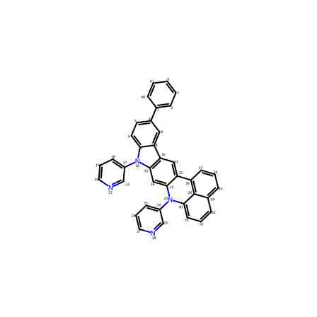 c1ccc(-c2ccc3c(c2)c2cc4c(cc2n3-c2cccnc2)N(c2cccnc2)c2cccc3cccc-4c23)cc1